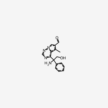 Cc1c(C=O)cn2ncnc(C(N)(CO)c3ccccc3)c12